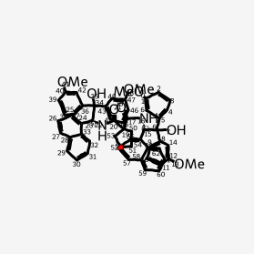 COc1cccc(C(O)(c2cccc(OC)c2)[C@@H](NC(=O)C2(C(=O)N[C@@H](c3cccc4ccccc34)C(O)(c3cccc(OC)c3)c3cccc(OC)c3)CCCC2)c2cccc3ccccc23)c1